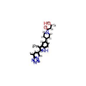 Cc1cc(-c2[nH]c3ccc(C4CCN(C(=O)C[C@@H](C)O)CC4)cc3c2C(C)C)cn2nnnc12